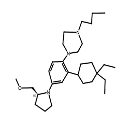 CCCCN1CCN(c2ccc(N3CCC[C@H]3COC)cc2C2CCC(CC)(CC)CC2)CC1